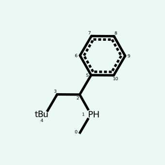 CPC(CC(C)(C)C)c1ccccc1